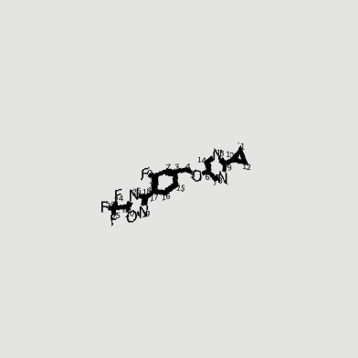 Fc1cc(COc2cnc(C3CC3)nc2)ccc1-c1noc(C(F)(F)F)n1